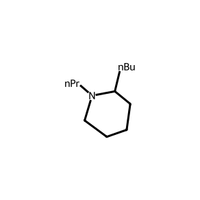 CCCCC1CCCCN1CCC